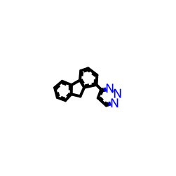 c1ccc2c(c1)Cc1c(-c3ccnnn3)cccc1-2